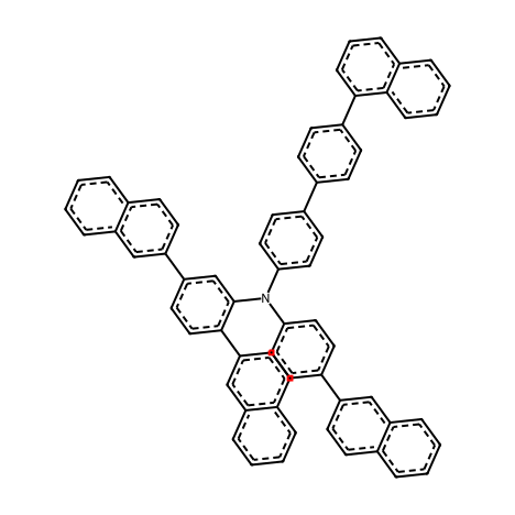 c1ccc2cc(-c3ccc(N(c4ccc(-c5ccc(-c6cccc7ccccc67)cc5)cc4)c4cc(-c5ccc6ccccc6c5)ccc4-c4ccc5ccccc5c4)cc3)ccc2c1